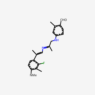 CNc1ccc(/C(C)=C/N=C(\C)CNc2ccc(C=O)c(C)c2)c(F)c1C